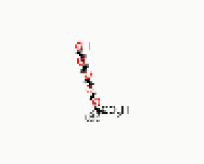 CC(C)(C)C(COCCOCCOCCOCCO)C(=O)O